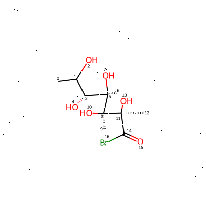 CC(O)[C@@H](O)[C@@](C)(O)[C@](C)(O)[C@@](C)(O)C(=O)Br